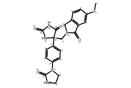 COc1ccc2c(c1)C(=O)N(C[C@@]1(c3ccc(N4CCNC4=O)cc3)NC(=O)NC1=O)C2